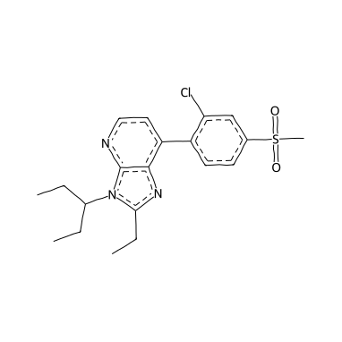 CCc1nc2c(-c3ccc(S(C)(=O)=O)cc3Cl)ccnc2n1C(CC)CC